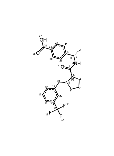 C[C@H](NC(=O)[C@H]1CCCN1Cc1cccc(C(F)(F)F)c1)c1ccc(C(=O)O)cc1